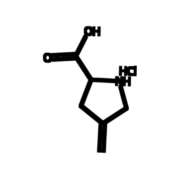 C=C1CNC(C(=O)O)C1.Cl